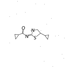 O=C(N=C1[N]CC(C2CC2)S1)C1CC1